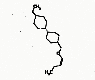 CC/C=C\OCC1CCC([C@H]2CC[C@H](CC)CC2)CC1